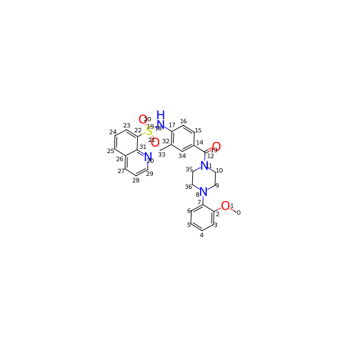 COc1ccccc1N1CCN(C(=O)c2ccc(NS(=O)(=O)c3cccc4cccnc34)c(C)c2)CC1